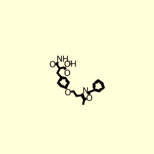 Cc1oc(-c2ccccc2)nc1CCOc1ccc(CC(C(N)=O)C(=O)O)cc1